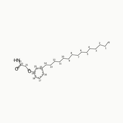 CCCCCCCCCCCCCCCc1cccc(OCC([NH])=O)c1